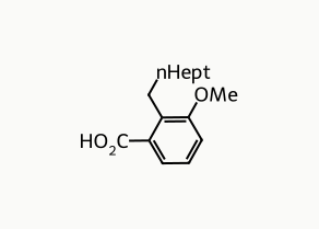 CCCCCCCCc1c(OC)cccc1C(=O)O